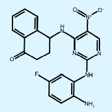 Nc1ccc(F)cc1Nc1ncc([N+](=O)[O-])c(NC2CCC(=O)c3ccccc32)n1